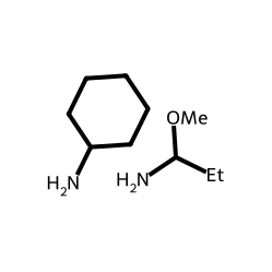 CCC(N)OC.NC1CCCCC1